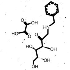 O=C(CNCc1ccccc1)[C@@H](O)[C@H](O)[C@H](O)CO.O=C(O)C(=O)O